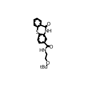 CC(C)(C)OCCNC(=O)c1ccc2c(c1)NC(=O)c1ccccc1S2